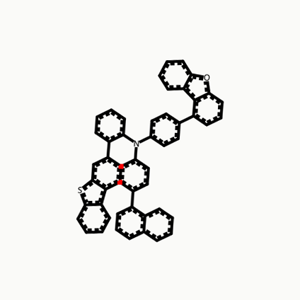 c1ccc(N(c2ccc(-c3cccc4ccccc34)cc2)c2ccc(-c3cccc4oc5ccccc5c34)cc2)c(-c2ccc3c(c2)sc2ccccc23)c1